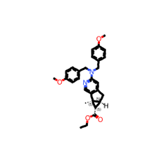 CCOC(=O)[C@H]1[C@@H]2Cc3cc(N(Cc4ccc(OC)cc4)Cc4ccc(OC)cc4)ncc3[C@@]21C